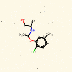 CCC(CO)NC(C)Oc1cc(C)ccc1Cl